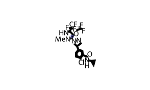 CN/C(=C(/OCC(F)F)C(=N)C(F)(F)C(F)(F)F)N1CC(c2ccc(Cl)c(C(=O)NC3CC3)c2)C=N1